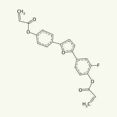 C=CC(=O)Oc1ccc(-c2ccc(-c3ccc(OC(=O)C=C)c(F)c3)o2)cc1